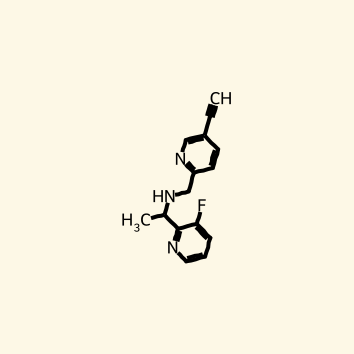 C#Cc1ccc(CNC(C)c2ncccc2F)nc1